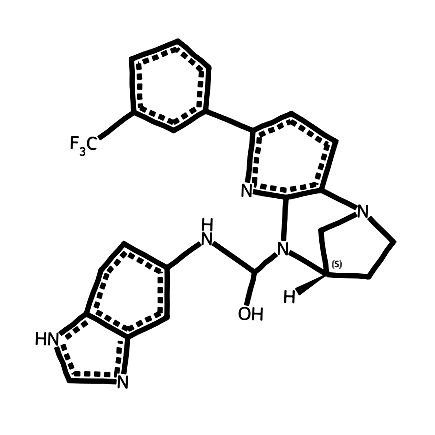 OC(Nc1ccc2[nH]cnc2c1)N1c2nc(-c3cccc(C(F)(F)F)c3)ccc2N2CC[C@H]1C2